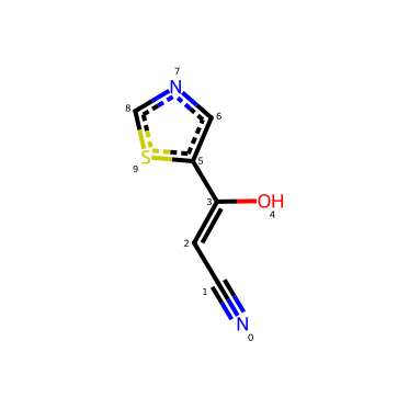 N#CC=C(O)c1cncs1